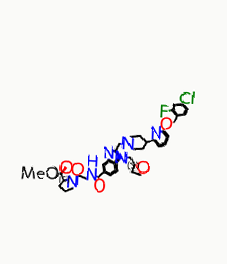 COC(=O)[C@@H]1CCCN1C(=O)CNC(=O)c1ccc2c(c1)nc(CN1CCC(c3cccc(OCc4ccc(Cl)cc4F)n3)CC1)n2C[C@@H]1CCO1